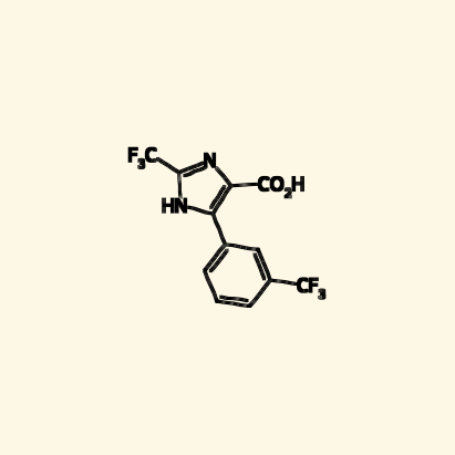 O=C(O)c1nc(C(F)(F)F)[nH]c1-c1cccc(C(F)(F)F)c1